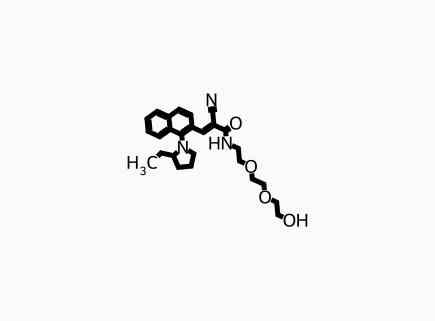 CCC1CCCN1c1c(/C=C(\C#N)C(=O)NCCOCCOCCO)ccc2ccccc12